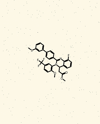 COC(=O)CC1c2cccc(F)c2N=C(c2ccc(-c3cccc(SC)c3)cc2)N1c1cc(C(F)(F)F)ccc1OC